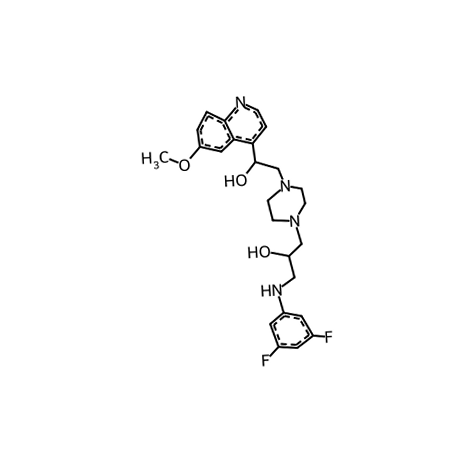 COc1ccc2nccc(C(O)CN3CCN(CC(O)CNc4cc(F)cc(F)c4)CC3)c2c1